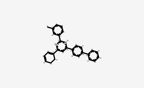 Cc1cccc(-c2nc(C3=CC=CCC3)cc(-c3ccc(-c4ccccc4)cc3)n2)c1